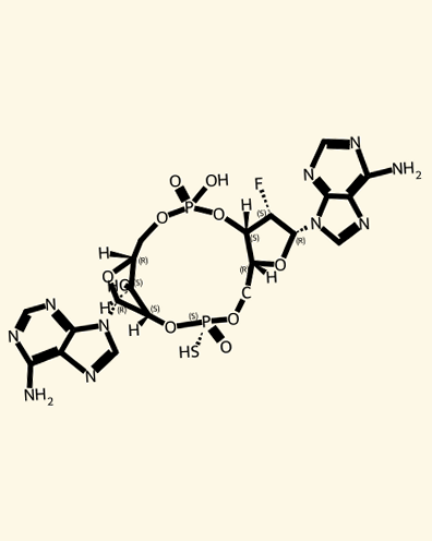 Nc1ncnc2c1ncn2[C@@H]1O[C@@H]2CO[P@](=O)(S)O[C@H]3[C@@H](O)[C@@H](COP(=O)(O)O[C@@H]2[C@@H]1F)O[C@H]3n1cnc2c(N)ncnc21